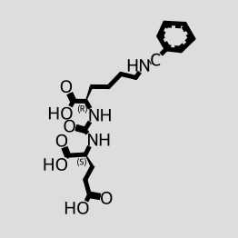 O=C(O)CC[C@H](NC(=O)N[C@H](CCCCNCc1ccccc1)C(=O)O)C(=O)O